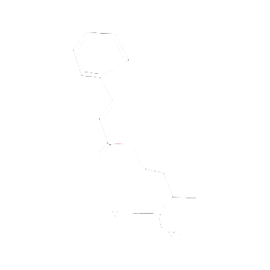 CO[SiH](OC)C(C)CCOC(=O)C=Cc1ccccc1